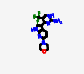 NC1N=C(c2c[nH]c3nc(N4CCOCC4)ccc23)C(C(F)(F)F)=CN1